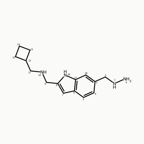 NNCc1ccc2cc(CNCC3CCC3)[nH]c2c1